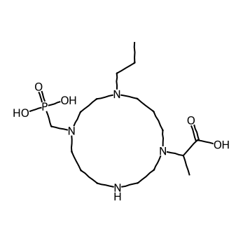 CCCN1CCCN(C(C)C(=O)O)CCNCCCN(CP(=O)(O)O)CC1